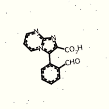 O=Cc1ccccc1-c1c(C(=O)O)nc2ncccn12